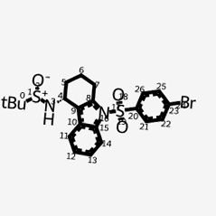 CC(C)(C)[S+]([O-])N[C@@H]1CCCc2c1c1ccccc1n2S(=O)(=O)c1ccc(Br)cc1